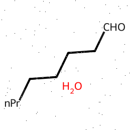 CCCCCCCC=O.O